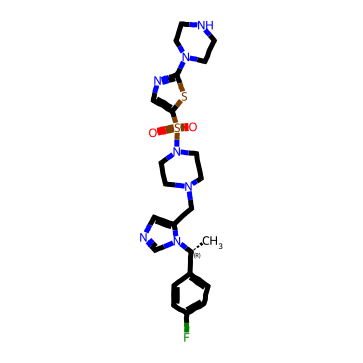 C[C@H](c1ccc(F)cc1)n1cncc1CN1CCN(S(=O)(=O)c2cnc(N3CCNCC3)s2)CC1